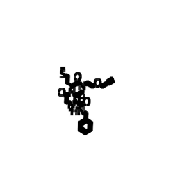 C#CCOCCN1C[C@H]2N(C(=O)CN(C)N2C(=O)NCc2ccccc2)[C@@H](CCSC)C1=O